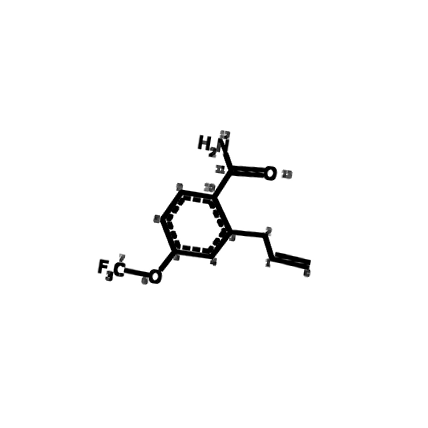 C=CCc1cc(OC(F)(F)F)ccc1C(N)=O